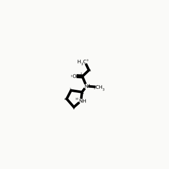 CCC(=O)N(C)C1CCCN1